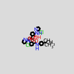 CN(c1cccc(C(=O)Nc2ccc(C(C)(C)C)cc2)c1OC(=O)c1cccc(Nc2ncccc2Cl)c1O)c1ncccc1Cl